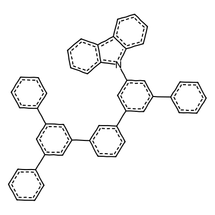 c1ccc(-c2cc(-c3ccccc3)cc(-c3cccc(-c4cc(-c5ccccc5)cc(-n5c6ccccc6c6ccccc65)c4)c3)c2)cc1